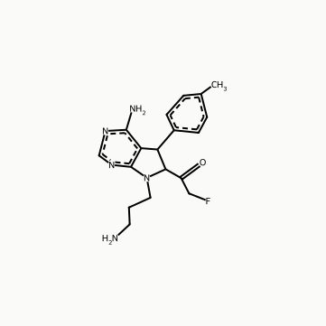 Cc1ccc(C2c3c(N)ncnc3N(CCCN)C2C(=O)CF)cc1